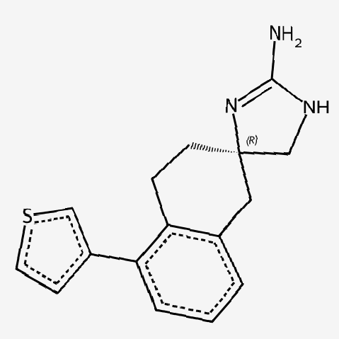 NC1=N[C@@]2(CCc3c(cccc3-c3ccsc3)C2)CN1